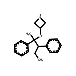 CCC(c1ccccc1)C(C)(OC1CNC1)c1ccccc1